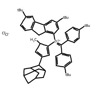 CC1C=C(C2C3CC4CC(C3)CC2C4)C=[C]1[Zr+2](=[C](c1ccc(C(C)(C)C)cc1)c1ccc(C(C)(C)C)cc1)[c]1cc(C(C)(C)C)cc2c1Cc1ccc(C(C)(C)C)cc1-2.[Cl-].[Cl-]